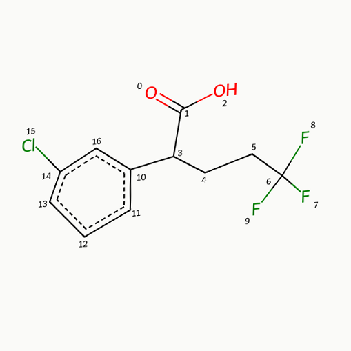 O=C(O)C(CCC(F)(F)F)c1cccc(Cl)c1